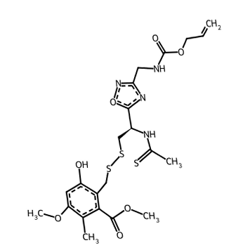 C=CCOC(=O)NCc1noc([C@H](CSSCc2c(O)cc(OC)c(C)c2C(=O)OC)NC(C)=S)n1